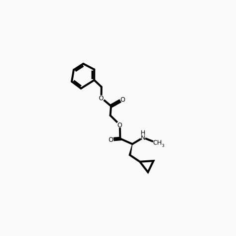 CN[C@@H](CC1CC1)C(=O)OCC(=O)OCc1ccccc1